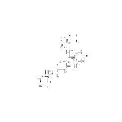 CC(=O)N1C2CCC1(c1nc(-c3ccc(C(=O)Nc4cc(C)ccn4)cc3)c3c(N)nccn13)CC2